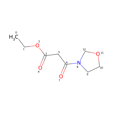 CCOC(=O)CC(=O)N1CCOC1